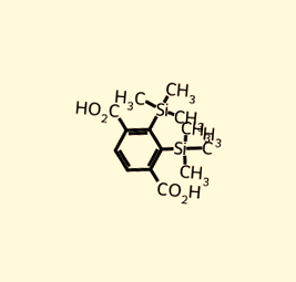 C[Si](C)(C)c1c(C(=O)O)ccc(C(=O)O)c1[Si](C)(C)C